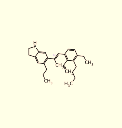 C=Cc1c(/C=C(\C)c2cc3c(cc2CCC)CCP3)ccc(CC)c1CCCC